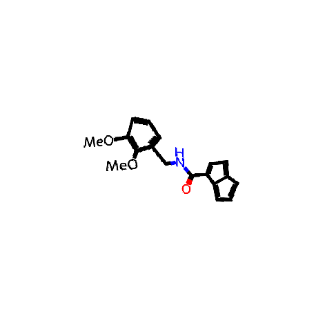 COc1cccc(CNC(=O)C2=CC=C3C=CC=C32)c1OC